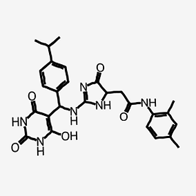 Cc1ccc(NC(=O)CC2NC(NC(c3ccc(C(C)C)cc3)c3c(O)[nH]c(=O)[nH]c3=O)=NC2=O)c(C)c1